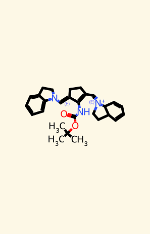 CC(C)(C)OC(=O)NC1=C(/C=[N+]2\CCC3C=CC=CC32)CC/C1=C\N1CCc2ccccc21